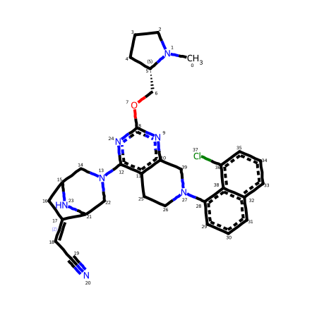 CN1CCC[C@H]1COc1nc2c(c(N3CC4C/C(=C/C#N)C(C3)N4)n1)CCN(c1cccc3cccc(Cl)c13)C2